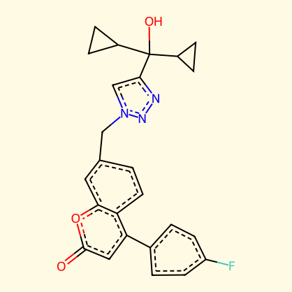 O=c1cc(-c2ccc(F)cc2)c2ccc(Cn3cc(C(O)(C4CC4)C4CC4)nn3)cc2o1